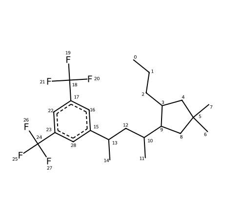 CCCC1CC(C)(C)CC1C(C)CC(C)c1cc(C(F)(F)F)cc(C(F)(F)F)c1